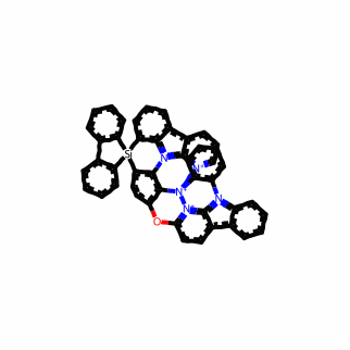 c1ccc2c(c1)-c1ccccc1[Si]21c2ccc3c4c2-n2c5c1cccc5c1ccc[n+](c12)[N+]41c2ccccc2-n2c4ccccc4c4ccc([n+]1c42)O3